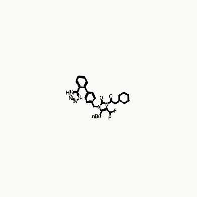 CCCCc1c(C(F)F)n(C(=O)CC2CCCCC2)c(=O)n1Cc1ccc(-c2ccccc2-c2nnn[nH]2)cc1